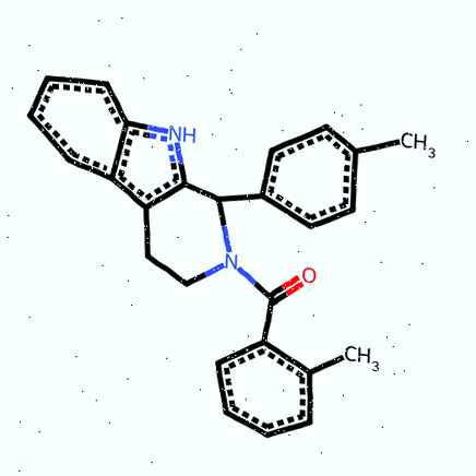 Cc1ccc(C2c3[nH]c4ccccc4c3CCN2C(=O)c2ccccc2C)cc1